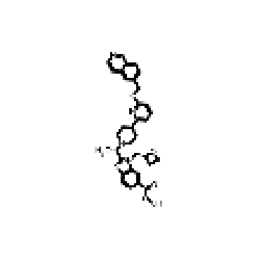 COC(=O)c1ccc2nc([C@H](C)N3CCC(c4cccc(OCc5ccc6cnccc6c5)n4)CC3)n(C[C@@H]3CCO3)c2c1